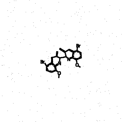 C=C1C=c2c(Br)ccc(OC)c2=NC1C1N=c2c(OC)ccc(Br)c2=CC1=C